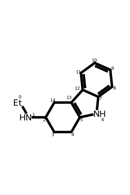 CCNC1CCc2[nH]c3ccccc3c2C1